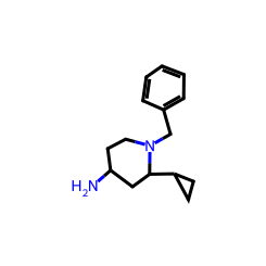 NC1CCN(Cc2ccccc2)C(C2CC2)C1